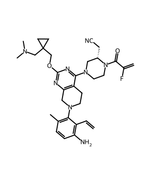 C=Cc1c(N)ccc(C)c1N1CCc2c(nc(OCC3(CN(C)C)CC3)nc2N2CCN(C(=O)C(=C)F)[C@@H](CC#N)C2)C1